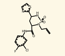 C=CCN1C(C(=O)Nc2ccc(F)c(Cl)c2)CC(c2nccs2)NS1(=O)=O